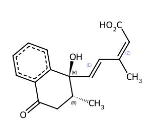 CC(=C/C(=O)O)/C=C/[C@@]1(O)c2ccccc2C(=O)C[C@H]1C